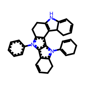 C1=CCC2C(=C1)NC1=C2c2c(n(-c3ccccc3)c3c4c(n(C5=CCCC=C5)c23)CCC=C4)CC1